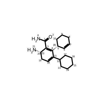 NC(=O)C1=C([C@H]2C=CCCC2)C(C2CCCCC2)=CC[C@@H]1N